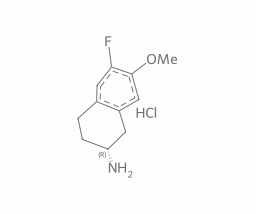 COc1cc2c(cc1F)CC[C@@H](N)C2.Cl